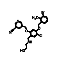 Cc1c(Br)cccc1COc1cc(OCc2cncc(C#N)c2)c(CNCCO)cc1Cl